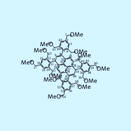 COCc1cc(COC)c(C2=CC(c3c(COC)cc(COC)cc3COC)c3ccc4c5c(ccc2c35)C(c2c(COC)cc(COC)cc2COC)C=C4c2c(COC)cc(COC)cc2COC)c(COC)c1